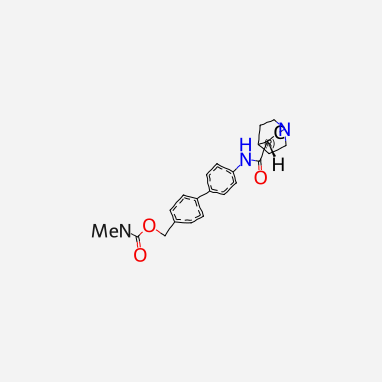 CNC(=O)OCc1ccc(-c2ccc(NC(=O)[C@H]3CN4CCC3CC4)cc2)cc1